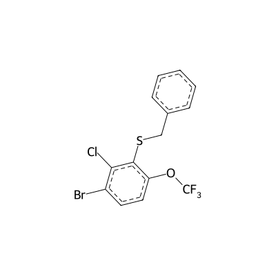 FC(F)(F)Oc1ccc(Br)c(Cl)c1SCc1ccccc1